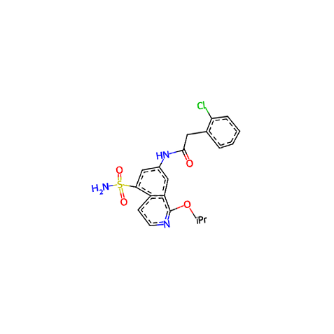 CC(C)Oc1nccc2c(S(N)(=O)=O)cc(NC(=O)Cc3ccccc3Cl)cc12